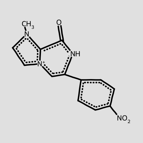 Cn1cc[n+]2cc(-c3ccc([N+](=O)[O-])cc3)[nH]c(=O)c12